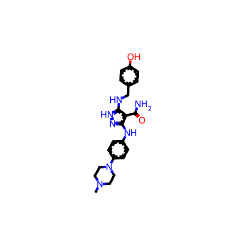 CN1CCN(c2ccc(Nc3n[nH]c(NCc4ccc(O)cc4)c3C(N)=O)cc2)CC1